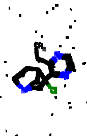 CCc1nccnc1C1(Cl)CN2CCC1C2